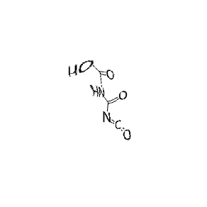 O=C=NC(=O)NC(=O)O